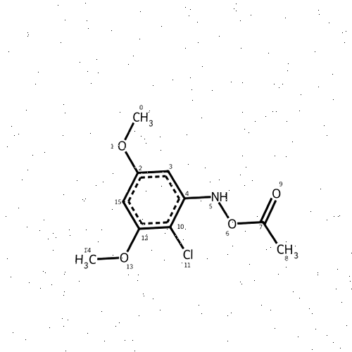 COc1cc(NOC(C)=O)c(Cl)c(OC)c1